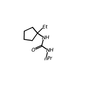 CCCNC(=O)NC1(CC)CCCC1